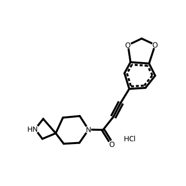 Cl.O=C(C#Cc1ccc2c(c1)OCO2)N1CCC2(CC1)CNC2